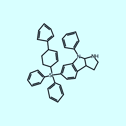 C1=CC([Si](c2ccccc2)(c2ccccc2)c2ccc3c(c2)N(c2ccccc2)C2NCCC32)CCC1c1ccccc1